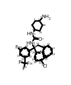 NC1CCC(NC(=O)N[C@@](Cc2ccccc2)(c2cc(F)cc(C(F)(F)F)c2)c2ccc(Cl)cn2)CC1